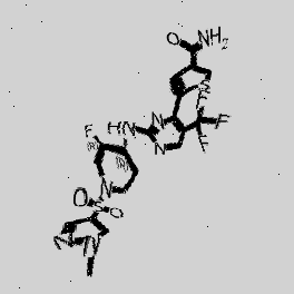 Cn1cc(S(=O)(=O)N2CC[C@@H](Nc3ncc(C(F)(F)F)c(-c4cc(C(N)=O)cs4)n3)[C@H](F)C2)cn1